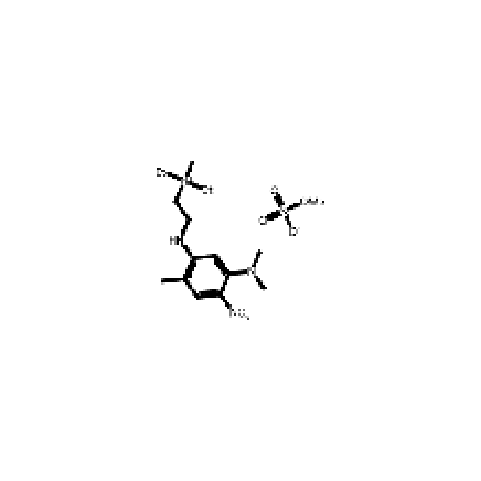 CC[N+](C)(CC)CCNc1cc(N(C)C)c([N+](=O)[O-])cc1C.COS(=O)(=O)[O-]